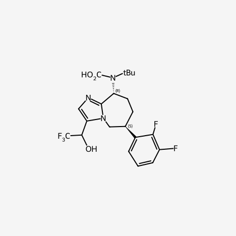 CC(C)(C)N(C(=O)O)[C@@H]1CC[C@@H](c2cccc(F)c2F)Cn2c(C(O)C(F)(F)F)cnc21